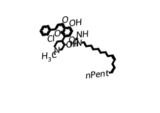 CCCCC/C=C\C/C=C\CCCCCCCCNC(=N)Oc1cc(O)c2c(=O)cc(-c3ccccc3Cl)oc2c1C1CCN(C)C[C@@H]1O